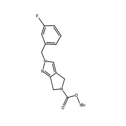 CC(C)(C)OC(=O)N1Cc2cn(Cc3cccc(F)c3)nc2C1